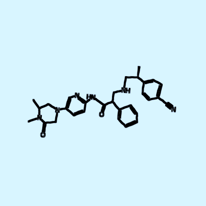 CC1CN(c2ccc(NC(=O)C(CNC[C@@H](C)c3ccc(C#N)cc3)c3ccccc3)nc2)CC(=O)N1C